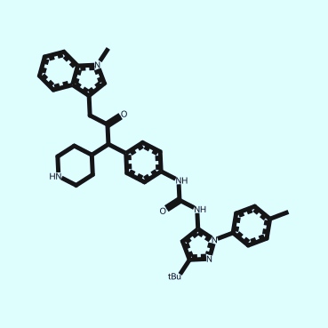 Cc1ccc(-n2nc(C(C)(C)C)cc2NC(=O)Nc2ccc(C(C(=O)Cc3cn(C)c4ccccc34)C3CCNCC3)cc2)cc1